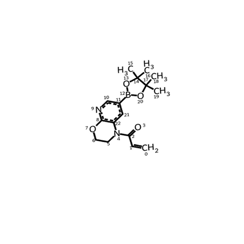 C=CC(=O)N1CCOc2ncc(B3OC(C)(C)C(C)(C)O3)cc21